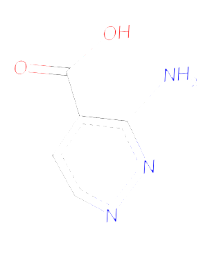 Nc1nnccc1C(=O)O